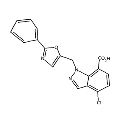 O=C(O)c1ccc(Cl)c2cnn(Cc3cnc(-c4ccccc4)o3)c12